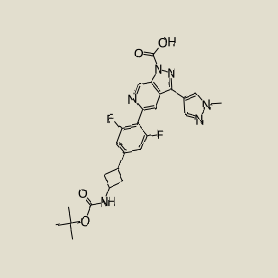 Cn1cc(-c2nn(C(=O)O)c3cnc(-c4c(F)cc(C5CC(NC(=O)OC(C)(C)C)C5)cc4F)cc23)cn1